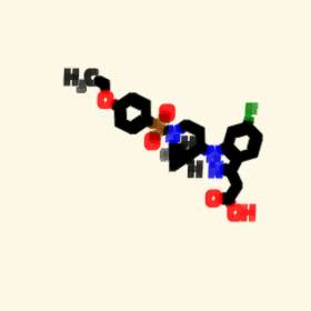 CCOc1ccc(S(=O)(=O)N2CCC(n3nc(CC(=O)O)c4ccc(F)cc43)[C@@H]3C[C@@H]32)cc1